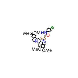 CCC1CN2CCc3cc(OC)c(OC)cc3C2CCC1C1c2cc(OC)c(OC)cc2CCN1C(=S)SCC(=O)Nc1ccc(Br)cc1